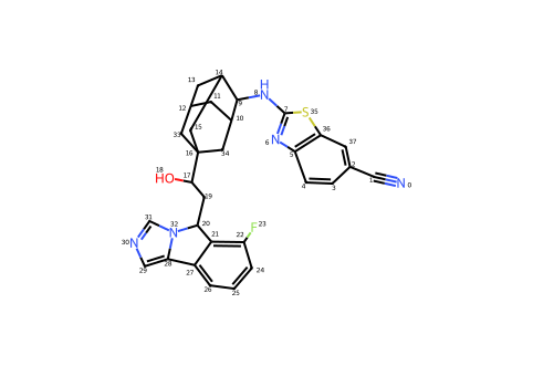 N#Cc1ccc2nc(NC3C4CC5CC3CC(C(O)CC3c6c(F)cccc6-c6cncn63)(C5)C4)sc2c1